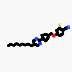 CCCCCCCCCc1cnc(-c2ccc(COc3ccc(C#N)c(F)c3)cc2)nc1